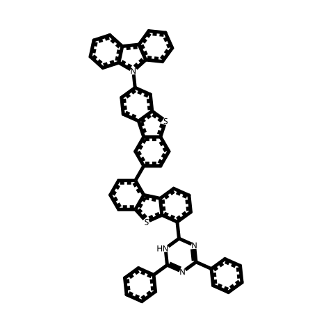 c1ccc(C2=NC(c3cccc4c3sc3cccc(-c5ccc6sc7cc(-n8c9ccccc9c9ccccc98)ccc7c6c5)c34)NC(c3ccccc3)=N2)cc1